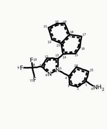 Nc1ccc(-n2nc(C(F)(F)F)cc2-c2cccc3ccccc23)cc1